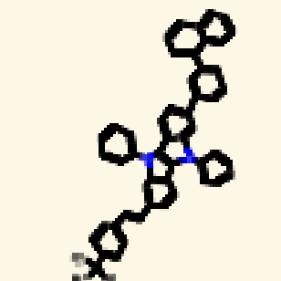 CC(C)(C)c1ccc(C=Cc2ccc3c(c2)n(-c2ccccc2)c2c4ccc(-c5cccc(-c6cccc7ccccc67)c5)cc4n(-c4ccccc4)c32)cc1